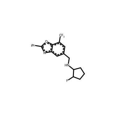 CC(C)c1nc2cc(CNC3CCCC3F)cc(C(F)(F)F)c2o1